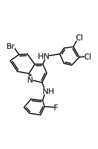 Fc1ccccc1Nc1cc(Nc2ccc(Cl)c(Cl)c2)c2cc(Br)ccc2n1